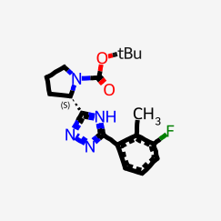 Cc1c(F)cccc1-c1nnc([C@@H]2CCCN2C(=O)OC(C)(C)C)[nH]1